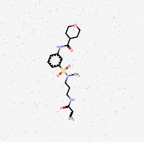 C=CC(=O)NCCCN(C)S(=O)(=O)c1cccc(NC(=O)C2CCOCC2)c1